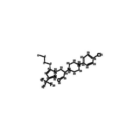 CCCCc1cc(C(F)(F)F)nn1CC(C=O)N1CCN(c2ccc(Cl)cc2)CC1